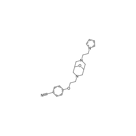 N#Cc1ccc(OCCN2CC3CN(CCn4cccc4)CC(C2)O3)cc1